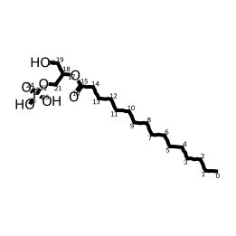 CCCCCCCCCCCCCCCC(=O)OC(CO)COP(=O)(O)O